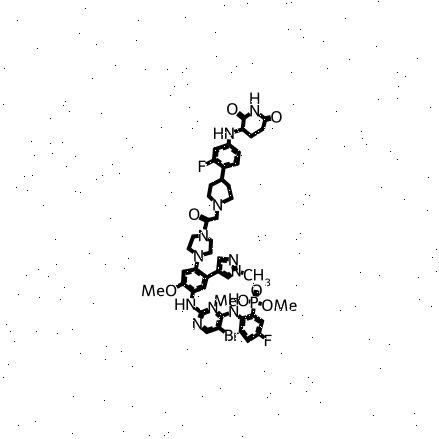 COc1cc(N2CCN(C(=O)CN3CCC(c4ccc(NC5CCC(=O)NC5=O)cc4F)CC3)CC2)c(-c2cnn(C)c2)cc1Nc1ncc(Br)c(Nc2ccc(F)cc2P(=O)(OC)OC)n1